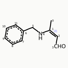 C/C(=C/C=O)NCc1ccccc1